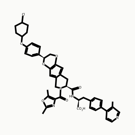 Cc1nc(C(=O)N2Cc3cc4c(cc3C[C@H]2C(=O)N[C@@H](Cc2ccc(-c3ccncc3C)cc2)C(=O)O)OC[C@H](c2ccc(OC3CCC(Cl)CC3)cc2)O4)c(C)o1